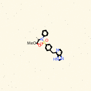 COC(=O)[C@H](C)N(c1ccccc1)S(=O)(=O)c1ccc(Cc2nccc3nc[nH]c23)cc1